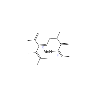 C=C(C)/C(=C\CC(C)C(=C)/C(=C\C)NC)C(C)=C(C)C